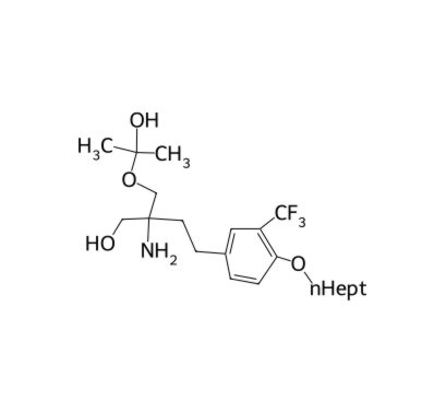 CCCCCCCOc1ccc(CCC(N)(CO)COC(C)(C)O)cc1C(F)(F)F